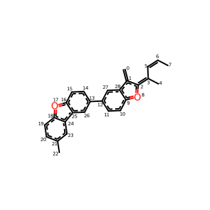 C=c1/c(=C(C)\C=C/C)oc2ccc(-c3ccc4oc5ccc(C)cc5c4c3)cc12